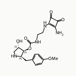 COc1ccc(C[C@H]2NC[C@H](O)[C@H]2OC(=O)NCCNc2c(N)c(=O)c2=O)cc1